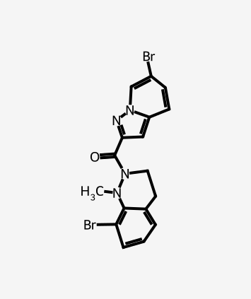 CN1c2c(Br)cccc2CCN1C(=O)c1cc2ccc(Br)cn2n1